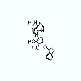 Nc1ncnc2c1ncn2[C@@H]1O[C@H](COC2CCc3ccccc32)[C@@H](O)[C@H]1O